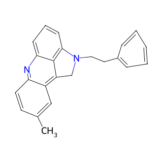 Cc1ccc2nc3cccc4c3c(c2c1)CN4CCc1ccccc1